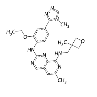 CCOc1cc(-c2nncn2C)ccc1Nc1ncc2cc(C)nc(NCC3(C)COC3)c2n1